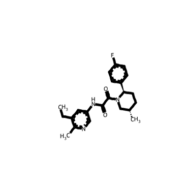 CCc1cc(NC(=O)C(=O)N2C[C@@H](C)CC[C@@H]2c2ccc(F)cc2)cnc1C